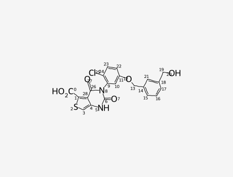 O=C(O)c1scc2[nH]c(=O)n(-c3cc(OCc4cccc(CO)c4)ccc3Cl)c(=O)c12